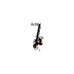 CC(=O)NCCOCCOCCOCCOCCNC(=O)c1cc(-c2ccnn2-c2ccc(C#N)cc2)c(C)n(-c2cccc(C(F)(F)F)c2)c1=O